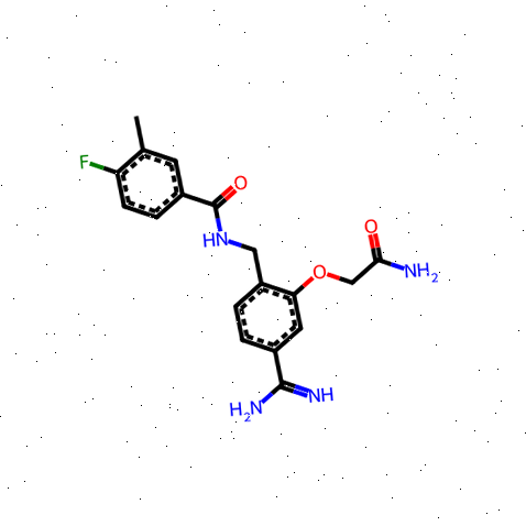 Cc1cc(C(=O)NCc2ccc(C(=N)N)cc2OCC(N)=O)ccc1F